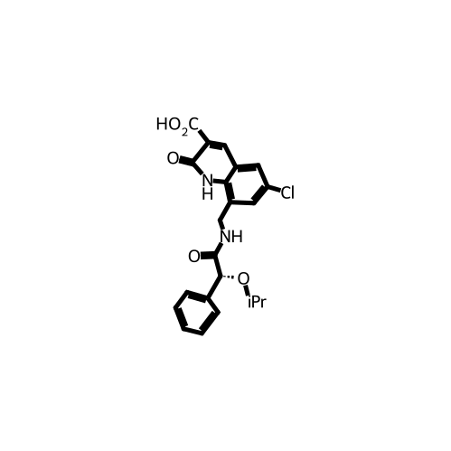 CC(C)O[C@@H](C(=O)NCc1cc(Cl)cc2cc(C(=O)O)c(=O)[nH]c12)c1ccccc1